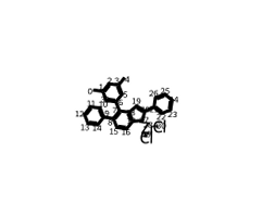 Cc1cc(C)cc(-c2c(-c3ccccc3)ccc3c2C=C(c2ccccc2)[CH]3[Zr]([Cl])[Cl])c1